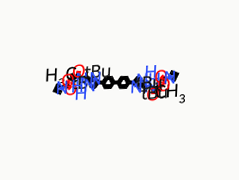 CC(C)(C)[C@H](NC(=O)C(C)(OC(=O)N1CCC1)C(C)(C)C)c1nc(-c2ccc(-c3ccc(-c4c[nH]c([C@@H](NC(=O)C(C)(OC(=O)N5CCC5)C(C)(C)C)C(C)(C)C)n4)cc3)cc2)c[nH]1